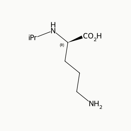 CC(C)N[C@H](CCCN)C(=O)O